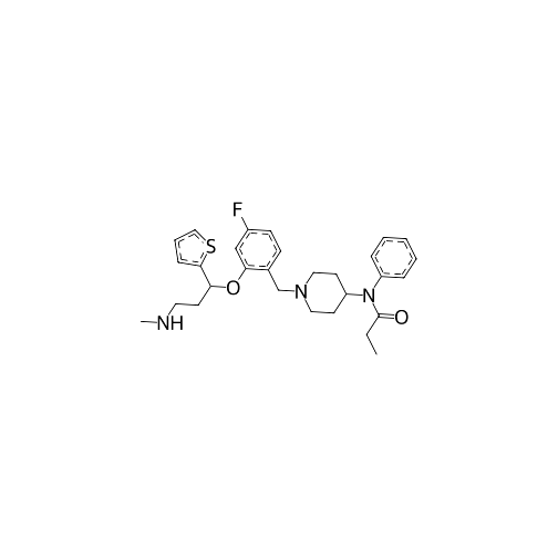 CCC(=O)N(c1ccccc1)C1CCN(Cc2ccc(F)cc2OC(CCNC)c2cccs2)CC1